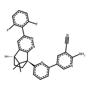 CC1(C)[C@H]2CC[C@@]1(c1cccc(-c3cnc(N)c(C#N)c3)n1)c1nnc(-c3c(F)cccc3F)cc12